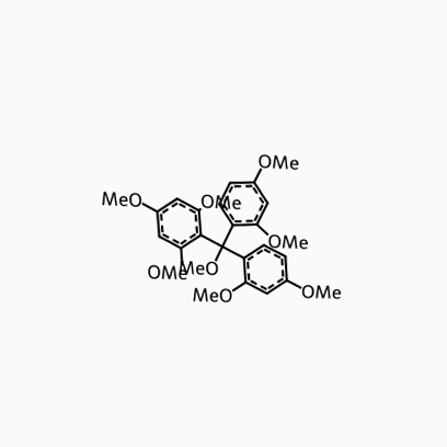 COc1ccc(C(OC)(c2ccc(OC)cc2OC)c2c(OC)cc(OC)cc2OC)c(OC)c1